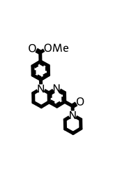 COC(=O)c1ccc(N2CCCc3cc(C(=O)N4CCCCC4)cnc32)cc1